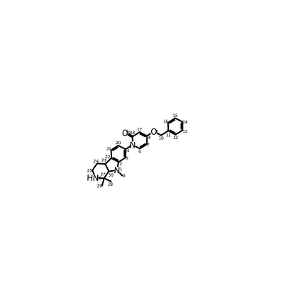 CN1c2cc(-n3ccc(OCc4ccccc4)cc3=O)ccc2C2CCNC(C)(C)C21